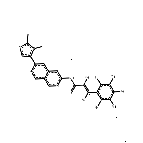 [2H]/C(C(=O)Nc1cc2cc(-c3cnc(C)n3C)ccc2cn1)=C(/[2H])c1c([2H])c([2H])c([2H])c([2H])c1[2H]